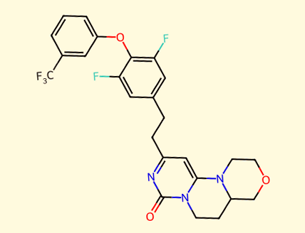 O=c1nc(CCc2cc(F)c(Oc3cccc(C(F)(F)F)c3)c(F)c2)cc2n1CCC1COCCN21